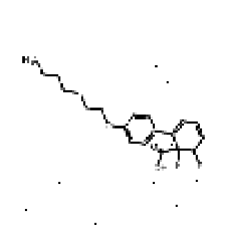 CCCCCCCOc1ccc(C2=CC=CC(F)C2(F)C(=O)O)cc1